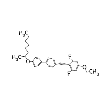 CCCCCCC(C)Oc1ccc(-c2ccc(C#Cc3c(F)cc(OCC)cc3F)cc2)cc1